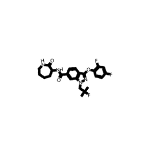 CC(C)(F)Cn1nc(Oc2ccc(F)cc2F)c2ccc(C(=O)NC3CCCCNC3=O)cc21